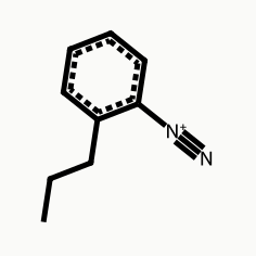 CCCc1ccccc1[N+]#N